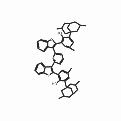 Cc1cc(-c2sc3ccccc3c2-c2cccc(-c3c(-c4cc(C)cc(C56CC(C)CC(CC(C)C5)C6)c4O)sc4ccccc34)n2)c(O)c(C23CC(C)CC(CC(C)C2)C3)c1